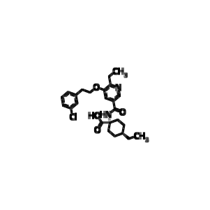 CCc1ncc(C(=O)N[C@]2(C(=O)O)CC[C@@H](CC)CC2)cc1OCCc1cccc(Cl)c1